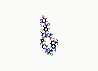 CNC(=O)COc1cc2cc(Nc3nc(N4CCC(O[C@H]5C[C@H](N6CCN(c7ccc8c(c7Cl)CN([C@@H]7CCC(=O)NC7=O)C8=O)[C@H](C)C6)C5)CC4)ncc3Cl)ccc2n(C(C)C)c1=O